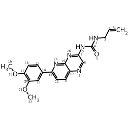 C=CCNC(=O)Nc1cnc2ccc(-c3ccc(OC)c(OC)c3)nc2n1